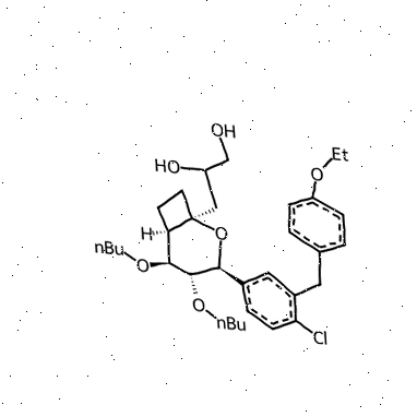 CCCCO[C@@H]1[C@@H](OCCCC)[C@H](c2ccc(Cl)c(Cc3ccc(OCC)cc3)c2)O[C@]2(CC(O)CO)CC[C@H]12